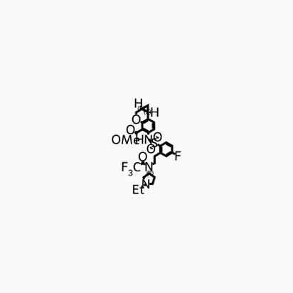 CCN1CC[C@@H](N(CCc2cc(F)ccc2S(=O)(=O)Nc2ccc3c(c2C(=O)OC)OC[C@@H]2C[C@H]32)C(=O)C(F)(F)F)C1